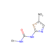 CCNC(=O)Nc1ncc([N+](=O)[O-])s1